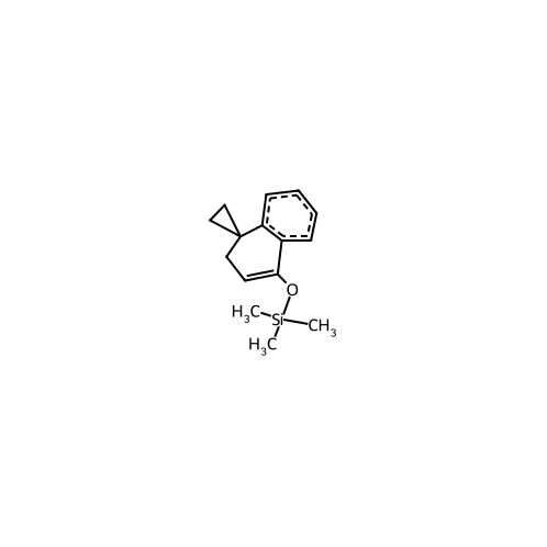 C[Si](C)(C)OC1=CCC2(CC2)c2ccccc21